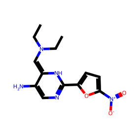 CCN(C=C1NC(c2ccc([N+](=O)[O-])o2)=NC=C1N)CC